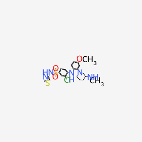 CNC1CCCN(c2cc(OC)ccc2Nc2ccc(S(=O)(=O)Nc3cscn3)cc2Cl)C1